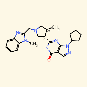 C[C@@H]1CN(Cc2nc3ccccc3n2C)C[C@H]1c1nc2c(cnn2C2CCCC2)c(=O)[nH]1